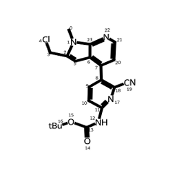 Cn1c(CCl)cc2c(-c3ccc(NC(=O)OC(C)(C)C)nc3C#N)ccnc21